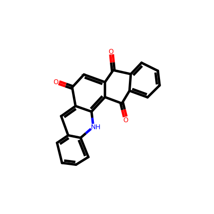 O=C1c2[c]c(=O)c3cc4ccccc4[nH]c-3c2C(=O)c2ccccc21